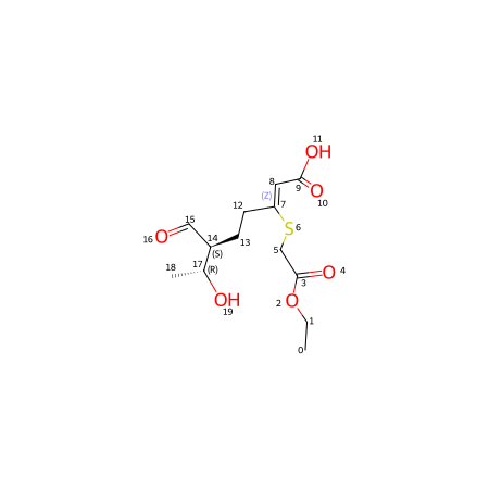 CCOC(=O)CS/C(=C\C(=O)O)CC[C@H](C=O)[C@@H](C)O